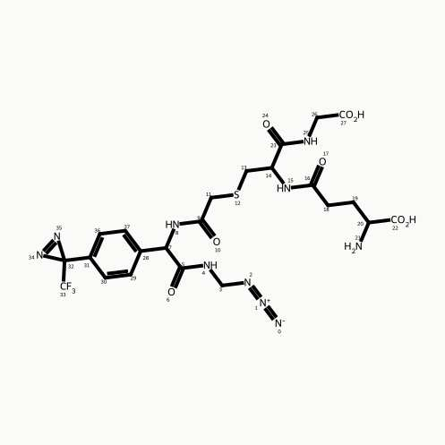 [N-]=[N+]=NCNC(=O)C(NC(=O)CSCC(NC(=O)CCC(N)C(=O)O)C(=O)NCC(=O)O)c1ccc(C2(C(F)(F)F)N=N2)cc1